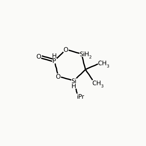 CC(C)[SiH]1O[PH](=O)O[SiH2]C1(C)C